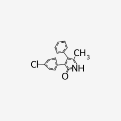 Cc1c[nH]c(=O)c(-c2ccc(Cl)cc2)c1-c1ccccc1